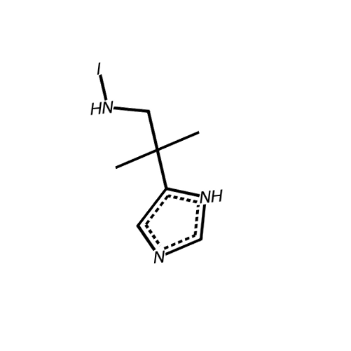 CC(C)(CNI)c1cnc[nH]1